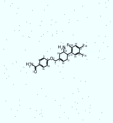 NC(=O)c1ccc(OCC2=CCC(c3cc(F)c(F)cc3F)C(N)C2)cc1